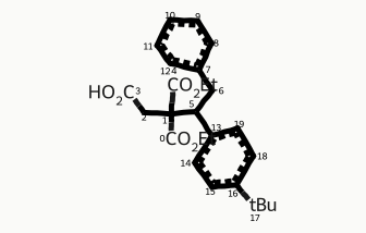 CCOC(=O)C(CC(=O)O)(C(=O)OCC)C(Cc1ccccc1)c1ccc(C(C)(C)C)cc1